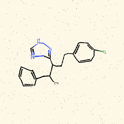 N#CC(c1ccccc1)C(CCc1ccc(Cl)cc1)c1nc[nH]n1